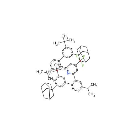 CC(C)c1ccc(-c2cc(C(C)(C)C)cc(C34CC5CC(CC(C5)C3)C4)c2)c(-c2cc(C(F)(F)F)cc(-c3cc(C(C)C)ccc3-c3cc(C(C)(C)C)cc(C45CC6CC(CC(C6)C4)C5)c3)n2)c1